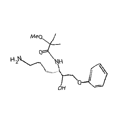 COC(C)(C)C(=O)N[C@@H](CCCN)C(O)COc1ccccc1